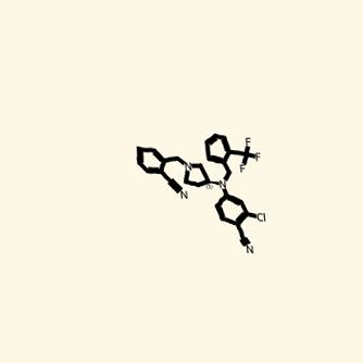 N#Cc1ccc(N(Cc2ccccc2C(F)(F)F)[C@H]2CCN(Cc3ccccc3C#N)C2)cc1Cl